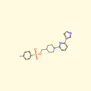 Cc1ccc(S(=O)(=O)OCC2CCN(c3cccc(-n4ccnc4)n3)CC2)cc1